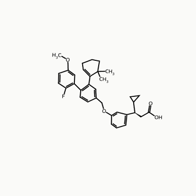 COc1ccc(F)c(-c2ccc(COc3cccc([C@H](CC(=O)O)C4CC4)c3)cc2C2=CCCCC2(C)C)c1